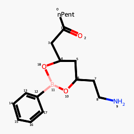 CCCCCC(=O)CC1CC(CCN)OB(c2ccccc2)O1